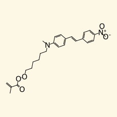 C=C(C)C(=O)OOCCCCCCN(C)c1ccc(C=Cc2ccc([N+](=O)[O-])cc2)cc1